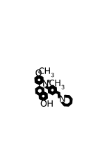 CCN(Cc1ccc(CCN2CCCCCCC2)cc1)c1cc(OC)ccc1[C@@H]1CCc2cc(O)ccc2C1